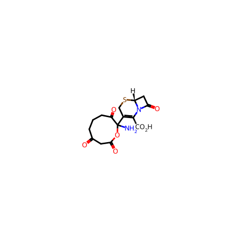 NC1(C2=C(C(=O)O)N3C(=O)C[C@H]3SC2)OC(=O)CC(=O)CCCC1=O